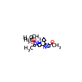 CC(=O)c1ccc2nc(-c3ccc(C4(NC(=O)OC(C)(C)C)CC(C)C4)cc3)c(-c3ccccc3)n2c1